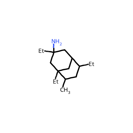 CCC1CC(C)C2(CC)CC1CC(N)(CC)C2